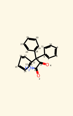 NC(=O)C(=O)C(c1ccccc1)(c1ccccc1)c1ccccc1